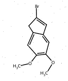 COc1cc2c(cc1OC)CC(Br)=C2